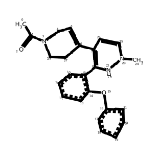 CC(=O)N1CC=C(C2=C(c3ccccc3Oc3ccccc3)NN(C)C=C2)CC1